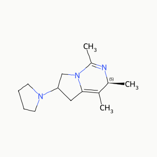 CC1=N[C@@H](C)C(C)=C2CC(N3CCCC3)CN12